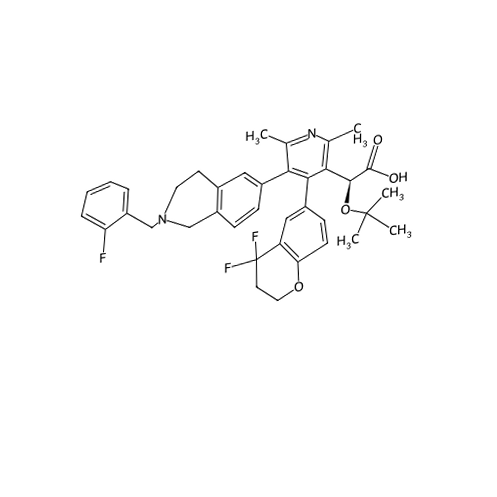 Cc1nc(C)c([C@H](OC(C)(C)C)C(=O)O)c(-c2ccc3c(c2)C(F)(F)CCO3)c1-c1ccc2c(c1)CCN(Cc1ccccc1F)C2